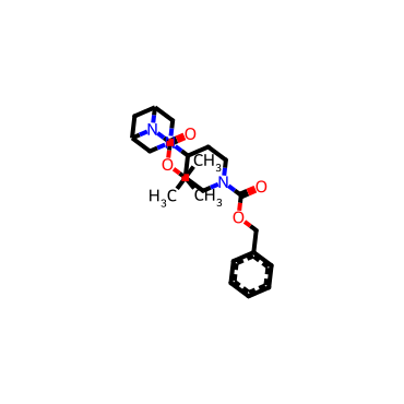 CC(C)(C)OC(=O)N1C2CC1CN(C1CCN(C(=O)OCc3ccccc3)CC1)C2